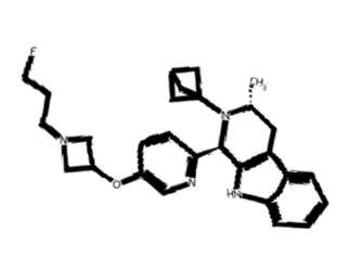 C[C@@H]1Cc2c([nH]c3ccccc23)[C@@H](c2ccc(OC3CN(CCCF)C3)cn2)N1C12CC(C1)C2